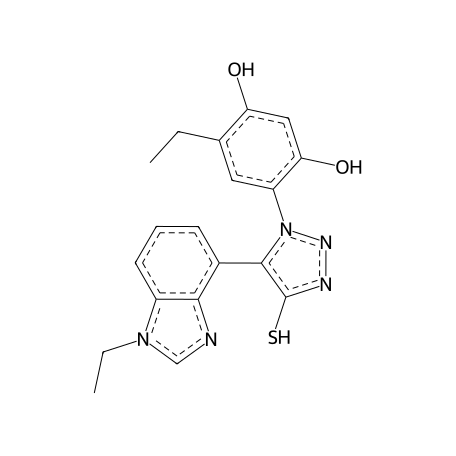 CCc1cc(-n2nnc(S)c2-c2cccc3c2ncn3CC)c(O)cc1O